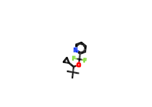 CC(C)(C)C(OC(F)(F)c1ccccn1)C1CC1